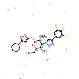 CO[C@@H]1[C@@H](n2cc(-c3cc(F)c(F)c(F)c3)nn2)[C@@H](O)[C@@H](CO)O[C@@H]1Cc1cc(C2CCCCC2)on1